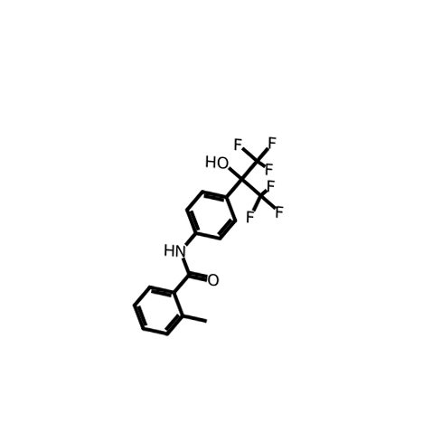 Cc1ccccc1C(=O)Nc1ccc(C(O)(C(F)(F)F)C(F)(F)F)cc1